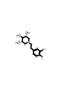 OC1[C@H](O)CN(CCc2ccc(F)c(F)c2)C[C@@H]1O